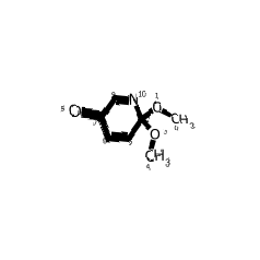 COC1(OC)C=CC(=O)C=N1